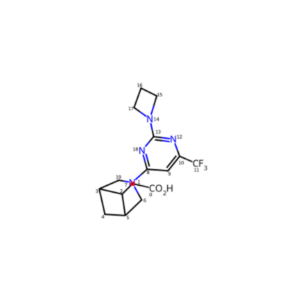 O=C(O)CC1C2CC1CN(c1cc(C(F)(F)F)nc(N3CCC3)n1)C2